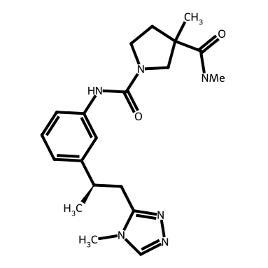 CNC(=O)C1(C)CCN(C(=O)Nc2cccc([C@H](C)Cc3nncn3C)c2)C1